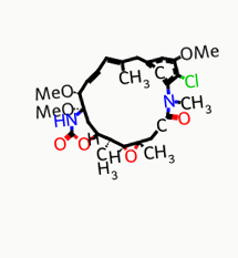 COc1cc2cc(c1Cl)N(C)C(=O)CC[C@]1(C)O[C@H]1[C@H](C)[C@@H]1C[C@@](OC)(NC(=O)O1)[C@H](OC)/C=C/C=C(\C)C2